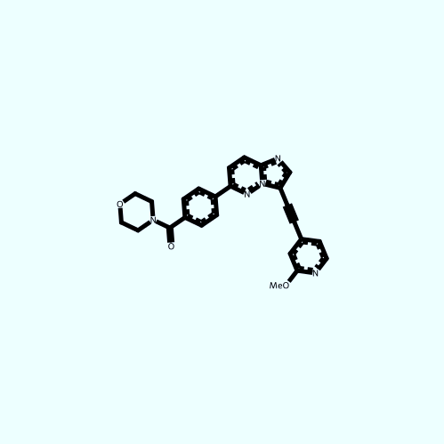 COc1cc(C#Cc2cnc3ccc(-c4ccc(C(=O)N5CCOCC5)cc4)nn23)ccn1